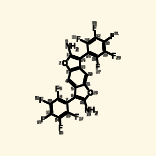 Nc1oc2cc3c(-c4c(F)c(F)c(F)c(F)c4F)c(N)oc3cc2c1-c1c(F)c(F)c(F)c(F)c1F